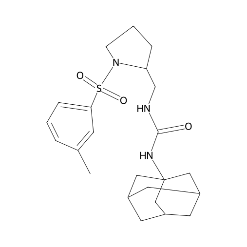 Cc1cccc(S(=O)(=O)N2CCCC2CNC(=O)NC23CC4CC(CC(C4)C2)C3)c1